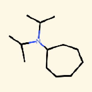 CC(C)N(C(C)C)C1CCCCCC1